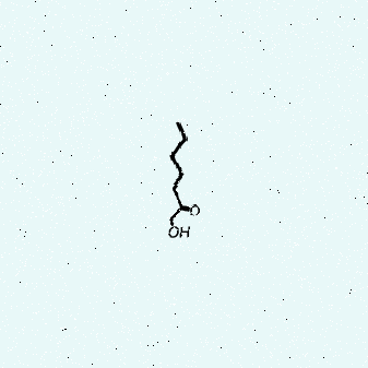 CCCCCC(=O)CO